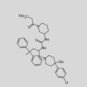 CCOC(=O)CC(=O)N1CCCC(NC(=O)NC(CN2CCC(O)(c3ccc(Cl)cc3)CC2)CC(C)(c2ccccc2)c2ccccc2)C1